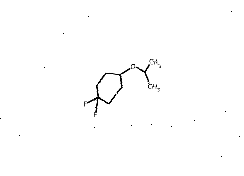 CC(C)OC1CCC(F)(F)CC1